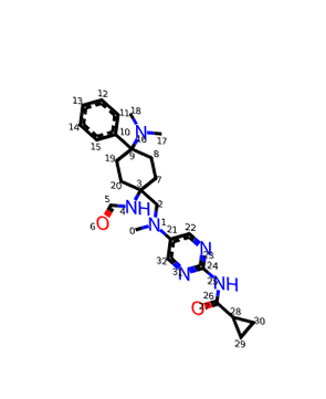 CN(CC1(NC=O)CCC(c2ccccc2)(N(C)C)CC1)c1cnc(NC(=O)C2CC2)nc1